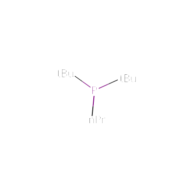 CCCP(C(C)(C)C)C(C)(C)C